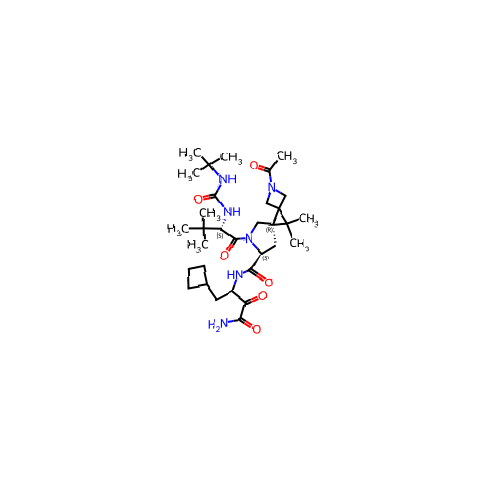 CC(=O)N1CC2(C1)C(C)(C)[C@]21C[C@@H](C(=O)NC(CC2CCC2)C(=O)C(N)=O)N(C(=O)[C@@H](NC(=O)NC(C)(C)C)C(C)(C)C)C1